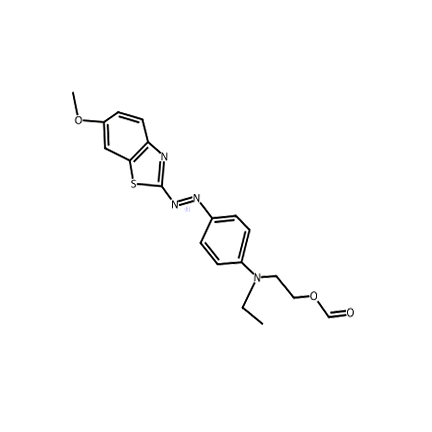 CCN(CCOC=O)c1ccc(/N=N/c2nc3ccc(OC)cc3s2)cc1